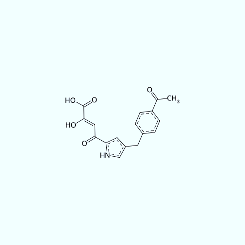 CC(=O)c1ccc(Cc2c[nH]c(C(=O)C=C(O)C(=O)O)c2)cc1